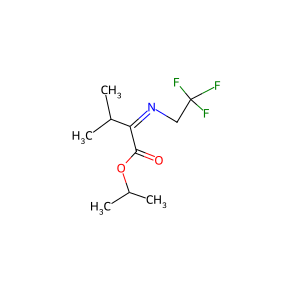 CC(C)OC(=O)/C(=N\CC(F)(F)F)C(C)C